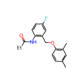 CCC(=O)Nc1ccc(F)cc1COc1ccc(C)cc1C